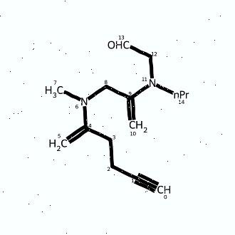 C#CCCC(=C)N(C)CC(=C)N(CC=O)CCC